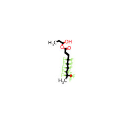 CCC(O)OC(=O)C=CC(F)(F)C(F)(F)C(F)(F)C(F)(F)C(C)(F)C(F)(F)F